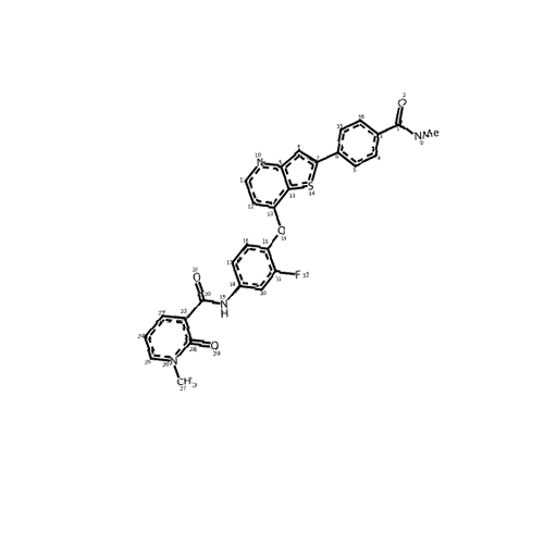 CNC(=O)c1ccc(-c2cc3nccc(Oc4ccc(NC(=O)c5cccn(C)c5=O)cc4F)c3s2)cc1